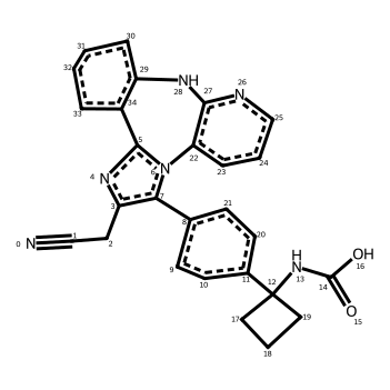 N#CCc1nc2n(c1-c1ccc(C3(NC(=O)O)CCC3)cc1)-c1cccnc1Nc1ccccc1-2